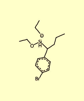 CCCC(c1ccc(Br)cc1)[SiH](OCC)OCC